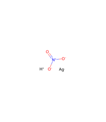 O=[N+]([O-])[O-].[Ag].[H+]